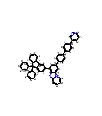 C1=CC2Nc3c(-c4ccc5c(c4)-c4ccccc4C5(c4ccccc4)c4ccccc4)cc(-c4ccc(-c5ccc(-c6cccnc6)cc5)cc4)cc3N2C=C1